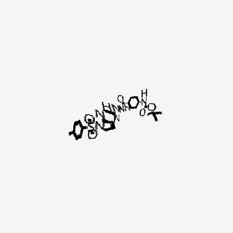 Cc1ccc(S(=O)(=O)n2ccc3nc(NNC(=O)[C@H]4CC[C@@H](NC(=O)OC(C)(C)C)CC4)cnc32)cc1